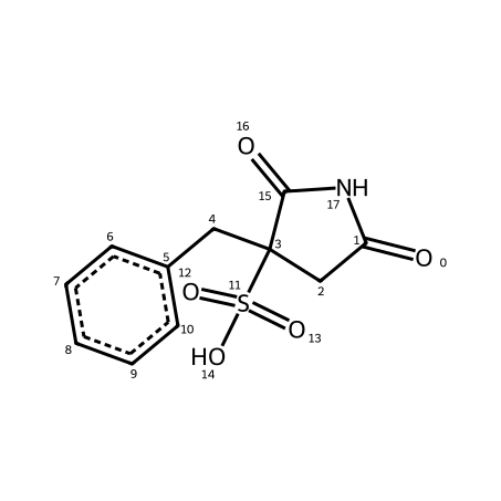 O=C1CC(Cc2ccccc2)(S(=O)(=O)O)C(=O)N1